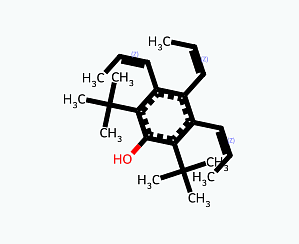 C/C=C\c1c(/C=C\C)c(C(C)(C)C)c(O)c(C(C)(C)C)c1/C=C\C